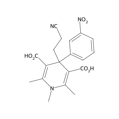 CC1=C(C(=O)O)C(CCC#N)(c2cccc([N+](=O)[O-])c2)C(C(=O)O)=C(C)N1C